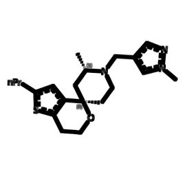 CCCc1cc2c(s1)CCO[C@@]21CCN(Cc2cnn(C)c2)[C@@H](C)C1